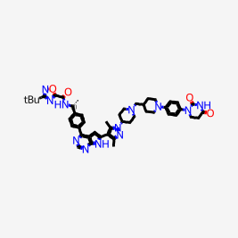 Cc1nn(C2CCN(CC3CCN(c4ccc(N5CCC(=O)NC5=O)cc4)CC3)CC2)c(C)c1-c1cc2c(-c3ccc([C@@H](C)NC(=O)c4nc(C(C)(C)C)no4)cc3)ncnc2[nH]1